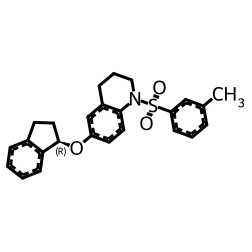 Cc1cccc(S(=O)(=O)N2CCCc3cc(O[C@@H]4CCc5ccccc54)ccc32)c1